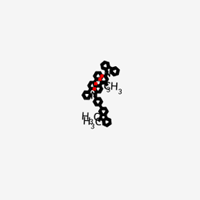 Cc1cc(N(c2ccc(-c3ccc4c(c3)C(C)(C)c3ccccc3-4)cc2)c2ccccc2-c2ccc(-c3ccccc3)cc2)ccc1-c1ccc(-n2c3ccccc3c3ccccc32)cc1C